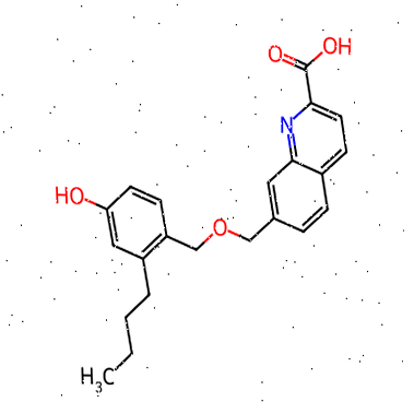 CCCCc1cc(O)ccc1COCc1ccc2ccc(C(=O)O)nc2c1